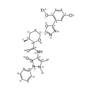 CCOc1ccc(Cl)cc1-c1nnc([C@H]2CC[C@H](C)C(C(=O)Nc3c(C)n(C)n(-c4ccccc4)c3=O)O2)o1